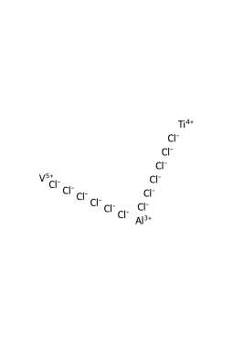 [Al+3].[Cl-].[Cl-].[Cl-].[Cl-].[Cl-].[Cl-].[Cl-].[Cl-].[Cl-].[Cl-].[Cl-].[Cl-].[Ti+4].[V+5]